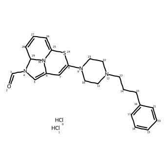 Cl.Cl.O=CN1C=C2C=C(N3CCN(CCCc4ccccc4)CC3)SC3=CC=CC1N23